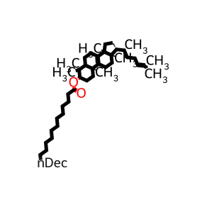 CCCCCCCCCCCCCCCCCCCCCC(=O)OC1CC[C@]2(C)C3=C(CCC2C1(C)C)[C@]1(C)CC[C@H]([C@H](C)CCC=C(C)C)[C@@]1(C)CC3